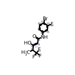 CC(/C(O)=C/C(=O)Nc1ccc(Br)c(F)c1)C(F)(F)F